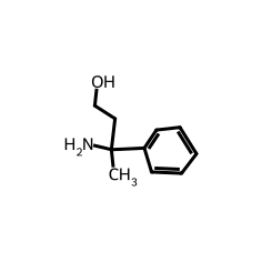 CC(N)(CCO)c1ccccc1